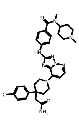 CN1CCC(N(C)C(=O)c2ccc(Nc3nc4c(N5CCC(CC(N)=O)(c6ccc(Cl)cc6)CC5)ccnn4n3)cc2)CC1